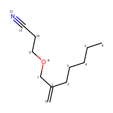 C=C(CCCCC)COCCC#N